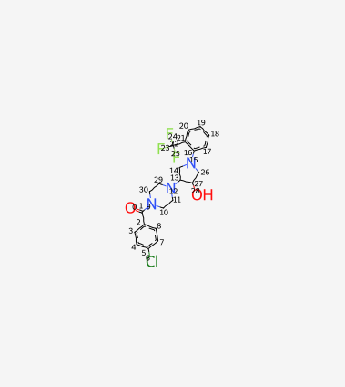 O=C(c1ccc(Cl)cc1)N1CCN(C2CN(c3ccccc3C(F)(F)F)CC2O)CC1